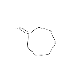 C[C]=C1CCCCCC1